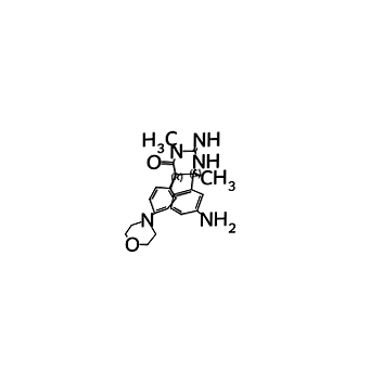 CN1C(=N)N[C@](C)(c2cccc(N)c2)[C@@H](c2ccc(N3CCOCC3)cc2)C1=O